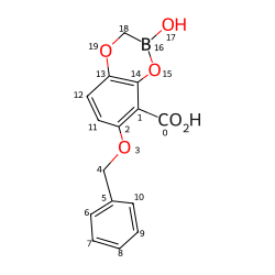 O=C(O)c1c(OCc2ccccc2)ccc2c1OB(O)CO2